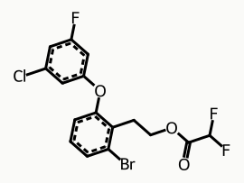 O=C(OCCc1c(Br)cccc1Oc1cc(F)cc(Cl)c1)C(F)F